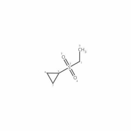 CCS(=O)(=O)C1CC1